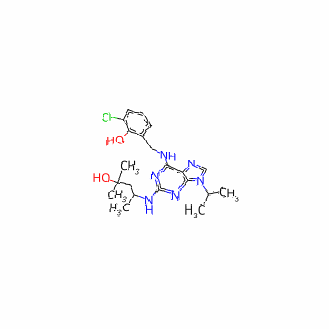 CC(CC(C)(C)O)Nc1nc(NCc2cccc(Cl)c2O)c2ncn(C(C)C)c2n1